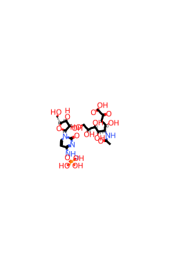 CC(=O)N[C@@H]([C@@H](O)[C@H](O)[C@H](O)CO)[C@@H](O)CC(=O)C(=O)O.Nc1ccn([C@@H]2O[C@H](CO)[C@@H](O)[C@H]2O)c(=O)n1.O=P(O)(O)O